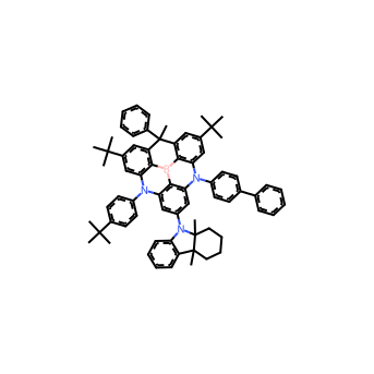 CC(C)(C)c1ccc(N2c3cc(N4c5ccccc5C5(C)CCCCC45C)cc4c3B3c5c(cc(C(C)(C)C)cc5C(C)(c5ccccc5)c5cc(C(C)(C)C)cc2c53)N4c2ccc(-c3ccccc3)cc2)cc1